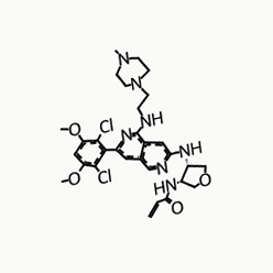 C=CC(=O)N[C@H]1COC[C@H]1Nc1cc2c(NCCN3CCN(C)CC3)nc(-c3c(Cl)c(OC)cc(OC)c3Cl)cc2cn1